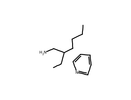 CCCCC(CC)CN.c1ccncc1